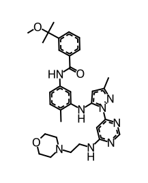 COC(C)(C)c1cccc(C(=O)Nc2ccc(C)c(Nc3cc(C)nn3-c3cc(NCCN4CCOCC4)ncn3)c2)c1